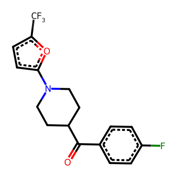 O=C(c1ccc(F)cc1)C1CCN(c2ccc(C(F)(F)F)o2)CC1